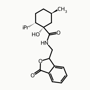 CC(C)[C@@H]1CC[C@@H](C)C[C@@]1(O)C(=O)NCC1OC(=O)c2ccccc21